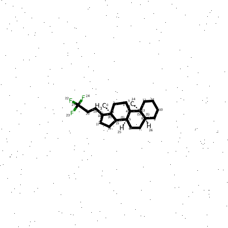 C[C@]12CCC3[C@@H](CC[C@@H]4CCCC[C@]34C)C1CCC2CCC(F)(F)F